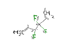 C=C[C](F)C(F)(F)C=C